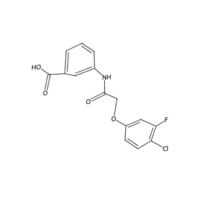 O=C(COc1ccc(Cl)c(F)c1)Nc1cccc(C(=O)O)c1